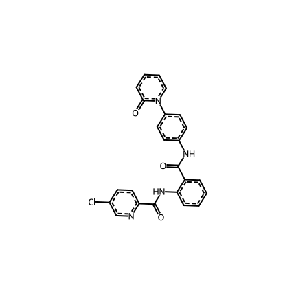 O=C(Nc1ccccc1C(=O)Nc1ccc(-n2ccccc2=O)cc1)c1ccc(Cl)cn1